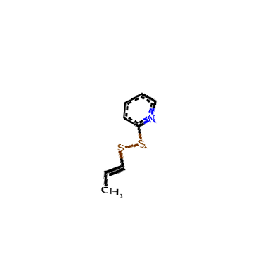 CC=CSSc1ccccn1